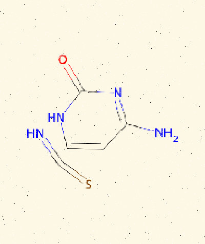 N=C=S.Nc1cc[nH]c(=O)n1